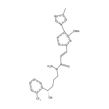 COc1nc(/C=C/C(=O)N(N)CCC[C@H](C#N)c2ccccc2C(F)(F)F)ccc1-n1cnc(C)c1